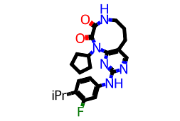 CC(C)c1ccc(Nc2ncc3c(n2)N(C2CCCC2)C(=O)C(=O)NCCC3)cc1F